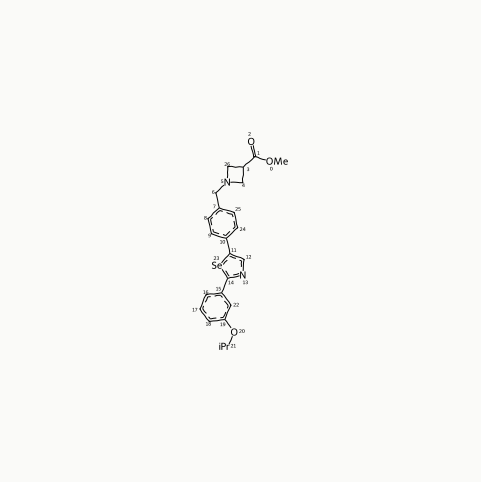 COC(=O)C1CN(Cc2ccc(-c3cnc(-c4cccc(OC(C)C)c4)[se]3)cc2)C1